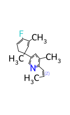 C/C=C\c1ncc(C2(C)C=C(C)C(F)=CC2)cc1C